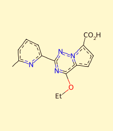 CCOc1nc(-c2cccc(C)n2)nn2c(C(=O)O)ccc12